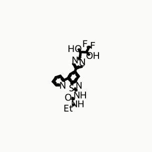 CCNC(=O)Nc1nc2cc(-c3cnc(C(O)C(O)C(F)F)nc3)cc(-c3ccccn3)c2s1